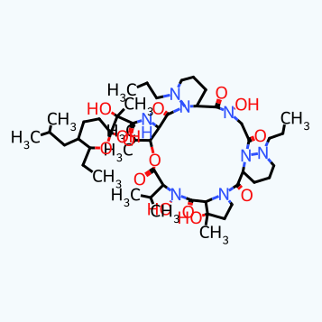 CCCN1CCCC2C(=O)N3CCC(C)(O)C3C(=O)N(O)C(C(C)C)C(=O)OC(C(C)C)C(NC(=O)C(C)(O)C3(O)CCC(CC(C)C)C(CC)O3)C(=O)N3C(CCCN3CCC)C(=O)N(O)CC(=O)N21